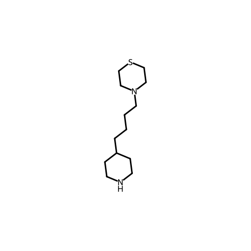 C(CCN1CCSCC1)CC1CCNCC1